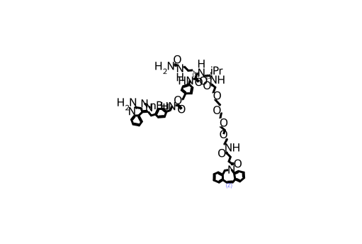 CCCCn1nc2c(N)nc3ccccc3c2c1Cc1ccc(CNC(=O)OCc2ccc(NC(=O)[C@H](CCCNC(N)=O)NC(=O)[C@@H](NC(=O)CCOCCOCCOCCOCCNC(=O)CCC(=O)N3Cc4ccccc4/C=C\c4ccccc43)C(C)C)cc2)cc1